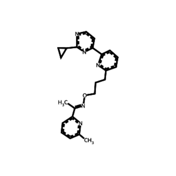 C/C(=N\OCCCc1cccc(-c2ccnc(C3CC3)n2)n1)c1cccc(C)n1